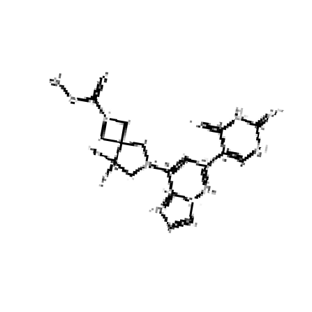 CC(C)(C)OC(=O)N1CC2(C1)CN(c1cc(-c3c[nH]c(=O)[nH]c3=O)nn3ccnc13)CC2(F)F